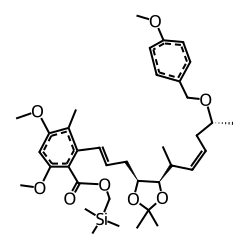 COc1ccc(CO[C@H](C)C/C=C\C(C)[C@H]2OC(C)(C)O[C@H]2C/C=C/c2c(C)c(OC)cc(OC)c2C(=O)OC[Si](C)(C)C)cc1